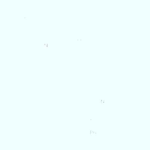 CC(C)(C)OC(=O)N1CCC(c2cccc3c2O[C@@](C)(c2ccc(Cl)cn2)O3)CC1